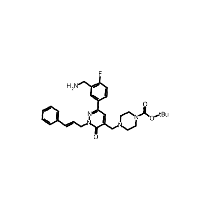 CC(C)(C)OC(=O)N1CCN(Cc2cc(-c3ccc(F)c(CN)c3)nn(C/C=C/c3ccccc3)c2=O)CC1